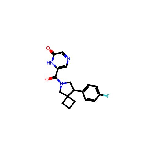 O=C(c1cncc(=O)[nH]1)N1CC(c2ccc(F)cc2)C2(CCC2)C1